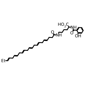 CCC=CCC=CCC=CCC=CCC=CCC=CCCC(=O)NCCCCC(NC(=O)c1ccccc1O)C(=O)O